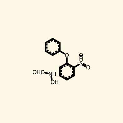 O=CNO.O=[SH](=O)c1ccccc1Oc1ccccc1